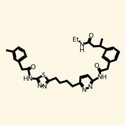 CCNC(=O)CC(C)c1cccc(CC(=O)Nc2ccc(CCCCc3nnc(NC(=O)Cc4cccc(C)c4)s3)nn2)c1